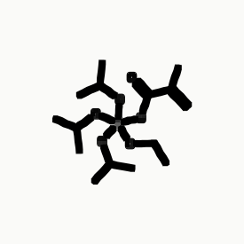 C=C(C)C(=O)[O][Ti]([O]CC)([O]C(C)C)([O]C(C)C)[O]C(C)C